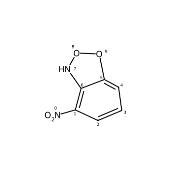 O=[N+]([O-])c1cccc2c1NOO2